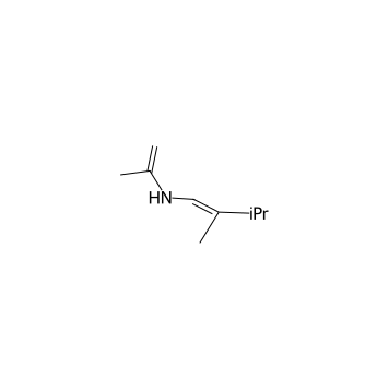 C=C(C)N/C=C(\C)C(C)C